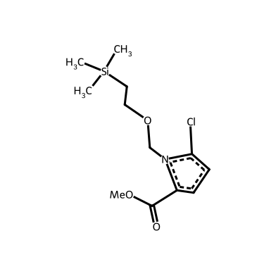 COC(=O)c1ccc(Cl)n1COCC[Si](C)(C)C